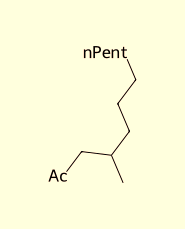 CCCCCCCCC(C)CC(C)=O